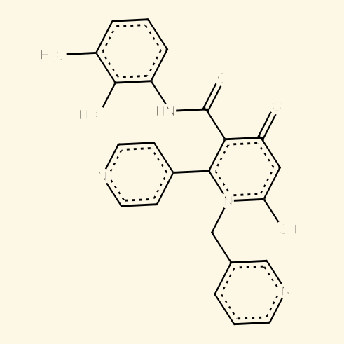 Cc1cccc(NC(=O)c2c(-c3ccncc3)n(Cc3cccnc3)c(C)cc2=O)c1C